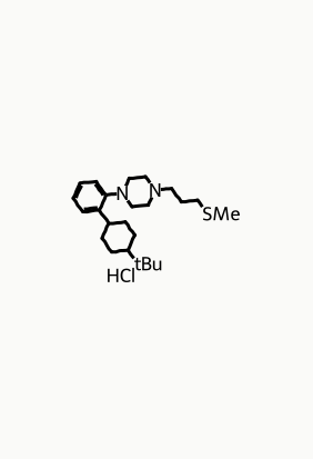 CSCCCN1CCN(c2ccccc2C2CCC(C(C)(C)C)CC2)CC1.Cl